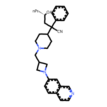 CCC[C@@H](CC(C#N)(c1ccccc1)C1CCN(CC2CN(c3ccc4ccncc4c3)C2)CC1)OC(C)=O